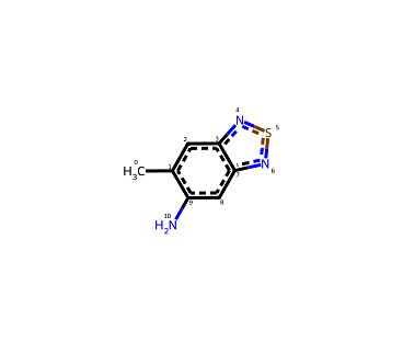 Cc1cc2nsnc2cc1N